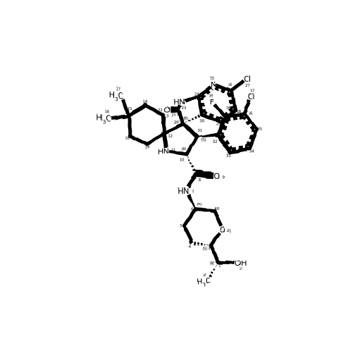 C[C@@H](O)[C@@H]1CC[C@@H](NC(=O)[C@@H]2NC3(CCC(C)(C)CC3)[C@@]3(C(=O)Nc4nc(Cl)ccc43)[C@H]2c2cccc(Cl)c2F)CO1